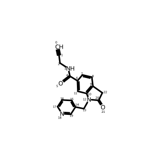 C#CCNC(=O)c1ccc2c(c1)N(Cc1cccnc1)C(=O)C2